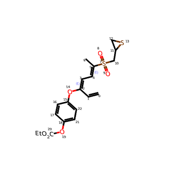 C=C/C(=C\C=C(/C)S(=O)(=O)CC1CS1)Oc1ccc(OC(=O)OCC)cc1